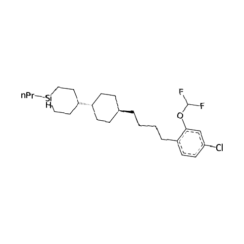 CCC[SiH]1CCC([C@H]2CC[C@H](CCCCc3ccc(Cl)cc3OC(F)F)CC2)CC1